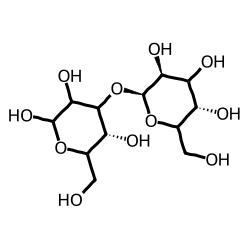 OCC1OC(O)C(O)C(O[C@@H]2OC(CO)[C@@H](O)C(O)[C@@H]2O)[C@@H]1O